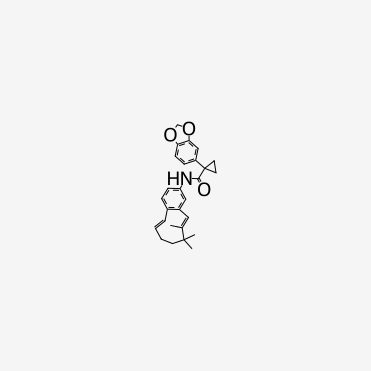 C/C1=C\c2cc(NC(=O)C3(c4ccc5c(c4)OCO5)CC3)ccc2/C=C/CCC1(C)C